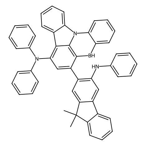 CC1(C)c2ccccc2-c2cc(Nc3ccccc3)c(-c3cc(N(c4ccccc4)c4ccccc4)c4c5ccccc5n5c4c3Bc3ccccc3-5)cc21